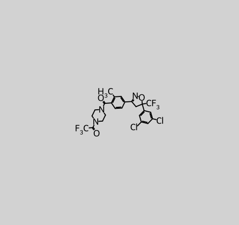 Cc1cc(C2=NOC(c3cc(Cl)cc(Cl)c3)(C(F)(F)F)C2)ccc1C(=O)N1CCN(C(=O)C(F)(F)F)CC1